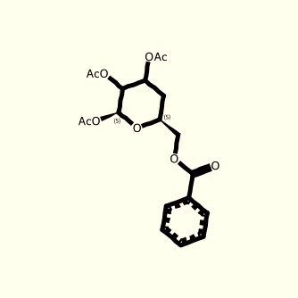 CC(=O)OC1C[C@@H](COC(=O)c2ccccc2)O[C@@H](OC(C)=O)C1OC(C)=O